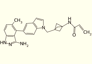 C=CC(=O)NC12CC(Cn3ccc4cc(-c5c(C)ccc6[nH]nc(N)c56)ccc43)(C1)C2